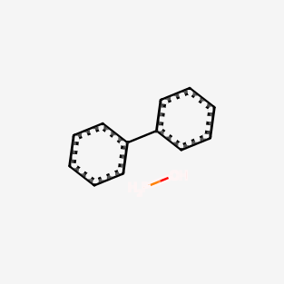 OP.c1ccc(-c2ccccc2)cc1